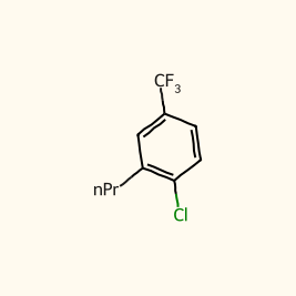 CCCc1cc(C(F)(F)F)ccc1Cl